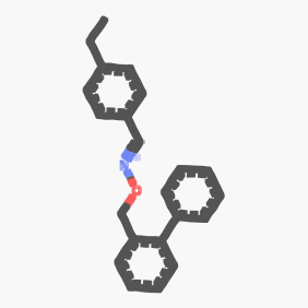 CCc1ccc(/[C]=N/OCc2ccccc2-c2ccccc2)cc1